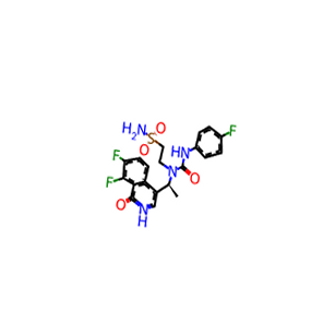 C[C@@H](c1c[nH]c(=O)c2c(F)c(F)ccc12)N(CCS(N)(=O)=O)C(=O)Nc1ccc(F)cc1